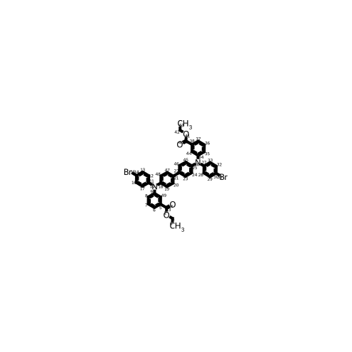 CCOC(=O)c1cccc(N(c2ccc(Br)cc2)c2ccc(-c3ccc(N(c4ccc(Br)cc4)c4cccc(C(=O)OCC)c4)cc3)cc2)c1